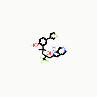 CC(C)(CC(O)(Cc1cc2ccncc2[nH]1)C(F)(F)F)c1cc(-c2ccsc2)ccc1O